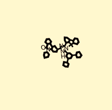 CC1(C)c2ccccc2-c2cccc(C3=NC(c4ccc5c(c4)c4ccccc4c(=O)n5-c4ccccc4)NC(c4cc(-c5ccccc5)cc(-c5ccccc5)c4)=N3)c21